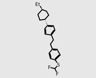 CC[C@H]1CC[C@H](c2ccc(CCc3ccc(SC(F)F)cc3)cc2)CC1